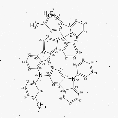 C=C(C)/C=C1\C(=C/C)c2ccccc2C1(c1ccccc1)c1ccc2c(c1)oc1c(N(C3=CC=CC(C)C3)c3ccc4c(c3)c3ccccc3n4-c3ccccc3)cccc12